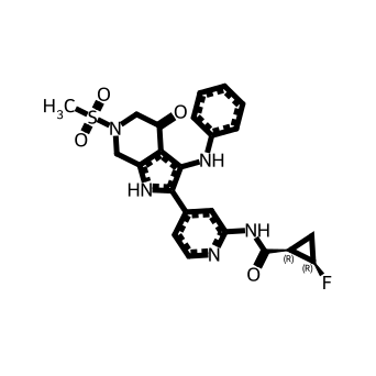 CS(=O)(=O)N1CC(=O)c2c([nH]c(-c3ccnc(NC(=O)[C@H]4C[C@H]4F)c3)c2Nc2ccccc2)C1